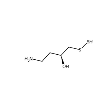 NCC[C@H](O)CSS